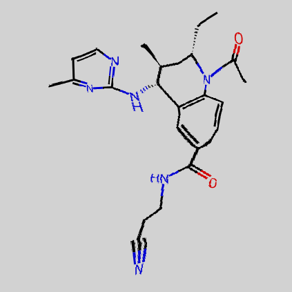 CC[C@H]1[C@H](C)[C@@H](Nc2nccc(C)n2)c2cc(C(=O)NCCC#N)ccc2N1C(C)=O